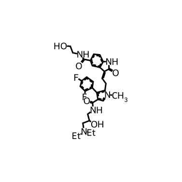 CCN(CC)CC(O)CNC(=O)c1cn(C)c(CC=C2C(=O)Nc3ccc(C(=O)NCCO)cc32)c1-c1ccc(F)cc1F